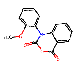 COc1ccccc1-n1c(=O)oc(=O)c2ccccc21